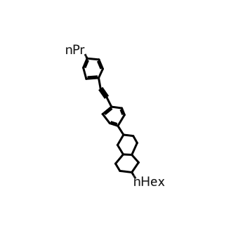 CCCCCCC1CCC2CC(c3ccc(C#Cc4ccc(CCC)cc4)cc3)CCC2C1